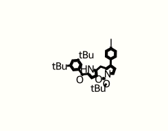 CC(C)(C)OC(=O)n1ccc(-c2ccc(I)cc2)c1Cc1ccc(C(=O)c2cc(C(C)(C)C)cc(C(C)(C)C)c2)[nH]1